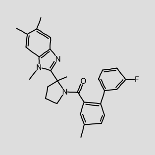 Cc1ccc(-c2cccc(F)c2)c(C(=O)N2CCCC2(C)c2nc3cc(C)c(C)cc3n2C)c1